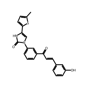 Cc1ccc(-c2cn(-c3cccc(C(=O)/C=C/c4cccc(O)c4)c3)c(=O)[nH]2)s1